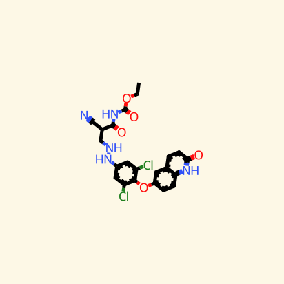 CCOC(=O)NC(=O)C(C#N)CNNc1cc(Cl)c(Oc2ccc3[nH]c(=O)ccc3c2)c(Cl)c1